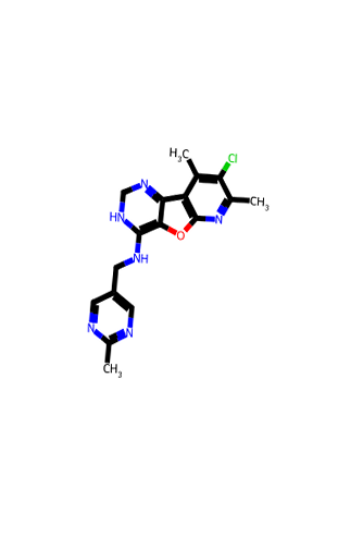 Cc1ncc(CNC2=c3oc4nc(C)c(Cl)c(C)c4c3=NCN2)cn1